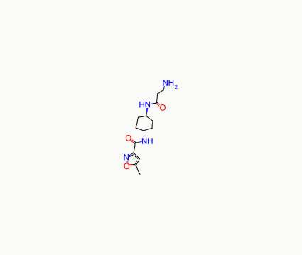 Cc1cc(C(=O)N[C@H]2CC[C@H](NC(=O)CCN)CC2)no1